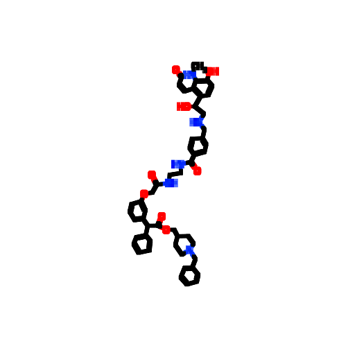 CNc1c(O)ccc([C@@H](O)CNCc2ccc(C(=O)NCCNC(=O)COc3cccc(C(C(=O)OCC4CCN(Cc5ccccc5)CC4)c4ccccc4)c3)cc2)c1/C=C\C=O